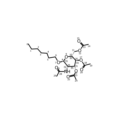 CCCCCCCO[C@H]1O[C@H](COC(C)=O)[C@@H](OC(C)=O)[C@H](OC(C)=O)[C@@H]1NC(C)=O